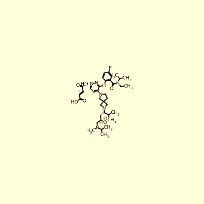 CCN(C(=O)c1cc(F)ccc1Oc1nncnc1N1CCC2(C1)CN([C@@H](C[C@@H](O)CN(C)C(C)C)C(C)C)C2)C(C)C.O=C(O)/C=C/C(=O)O